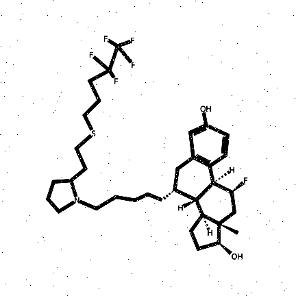 C[C@]12C[C@H](F)[C@@H]3c4ccc(O)cc4C[C@@H](CCCCCN4CCCC4CCSCCCC(F)(F)C(F)(F)F)[C@H]3[C@@H]1CC[C@@H]2O